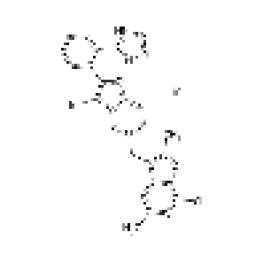 Cc1cc2c(cc(C)n2Cc2ccc3oc(-c4ccccc4-c4nnn[nH]4)c(Br)c3c2)c(Cl)n1.Cl